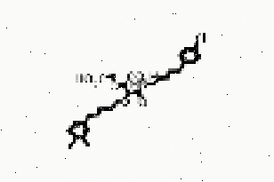 Cc1ccc(CCCCCOC(C(=O)NCCCCCc2ccc(Cl)cc2)C(OCC(=O)O)C(=O)O)cc1C